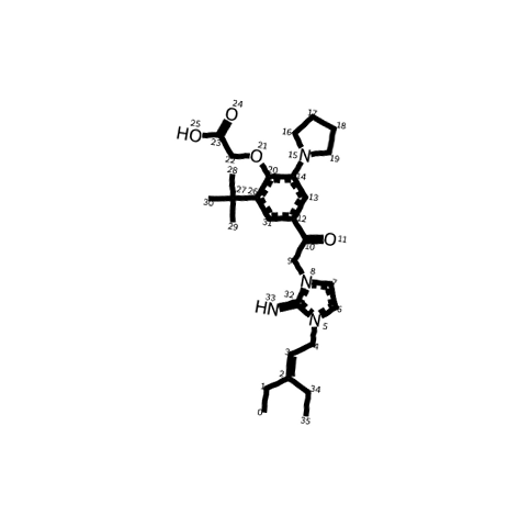 CCC(=CCn1ccn(CC(=O)c2cc(N3CCCC3)c(OCC(=O)O)c(C(C)(C)C)c2)c1=N)CC